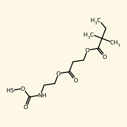 CCC(C)(C)C(=O)OCCC(=O)OCCNC(=O)OS